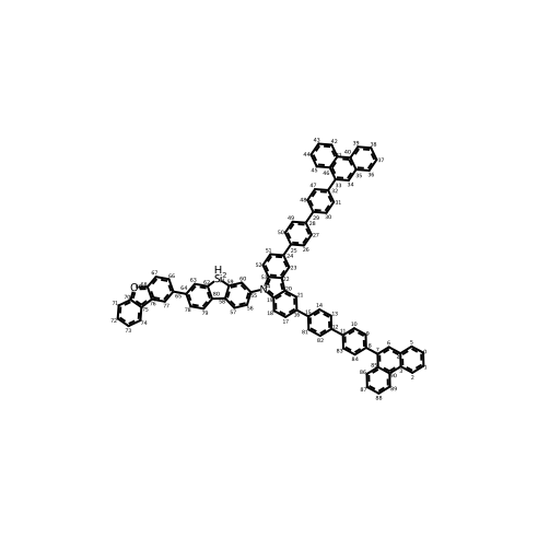 c1ccc2c(c1)cc(-c1ccc(-c3ccc(-c4ccc5c(c4)c4cc(-c6ccc(-c7ccc(-c8cc9ccccc9c9ccccc89)cc7)cc6)ccc4n5-c4ccc5c(c4)[SiH2]c4cc(-c6ccc7oc8ccccc8c7c6)ccc4-5)cc3)cc1)c1ccccc12